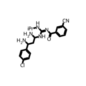 CC(C)N/C(=N/C(=O)c1cccc(C#N)c1)NC(N)CC(N)c1ccc(Cl)cc1